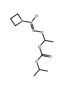 CC(C)OC(=O)OC(C)ON=[N+]([O-])N1CCC1